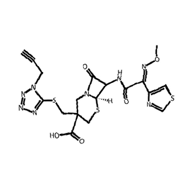 C#CCn1nnnc1SCC1(C(=O)O)CS[C@@H]2C(NC(=O)C(=NOC)c3cscn3)C(=O)N2C1